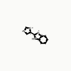 c1ccc2[nH]c(-c3cncs3)nc2c1